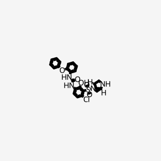 O=C(Nc1ccccc1Oc1ccccc1)Nc1ccc(Cl)c(S(=O)(=O)N2C[C@@H]3C[C@H]2CN3)c1O